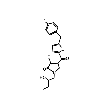 CCC(O)CN1CC(C(=O)c2ccc(Cc3ccc(F)cc3)o2)=C(O)C1=O